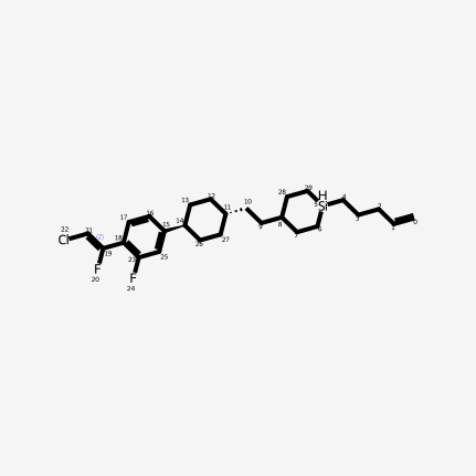 C=CCCC[SiH]1CCC(CC[C@H]2CC[C@H](c3ccc(/C(F)=C/Cl)c(F)c3)CC2)CC1